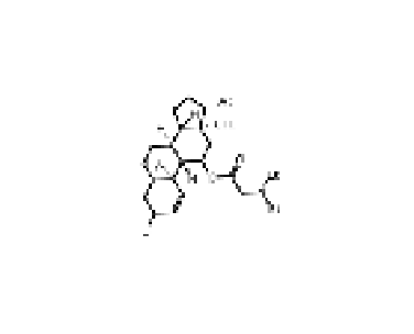 CCN(CC)CC(=O)OC1C[C@]2(C)[C@@H](C(C)=O)CC[C@H]2[C@@H]2CCC3CC(O)C=C[C@]3(C)[C@@H]12